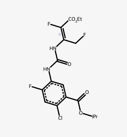 CCOC(=O)/C(F)=C(\CF)NC(=O)Nc1cc(C(=O)OC(C)C)c(Cl)cc1F